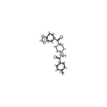 O=C(NN1CCN(C(=O)c2ccc3c(c2)OCO3)CC1)c1ccc(F)cc1